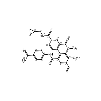 C=Cc1cc(C(=O)Nc2ccc(C(=N)N)cc2)c(-c2ccc(C(=O)NCC3CC3)nc2C(=O)OCCC)cc1OC